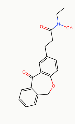 CCN(O)C(=O)CCc1ccc2c(c1)C(=O)c1ccccc1CO2